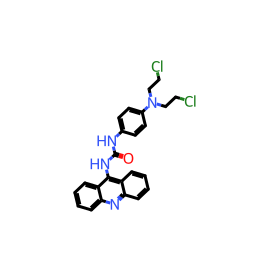 O=C(Nc1ccc(N(CCCl)CCCl)cc1)Nc1c2ccccc2nc2ccccc12